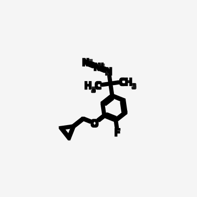 CC(C)(N=[N+]=[N-])c1ccc(F)c(OCC2CC2)c1